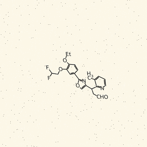 CCOc1ccc(-c2nc(C(CC=O)c3ncccc3C)co2)cc1OCC(F)F